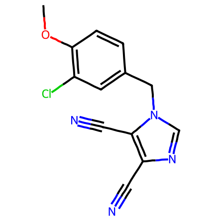 COc1ccc(Cn2cnc(C#N)c2C#N)cc1Cl